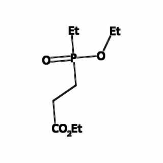 CCOC(=O)CCP(=O)(CC)OCC